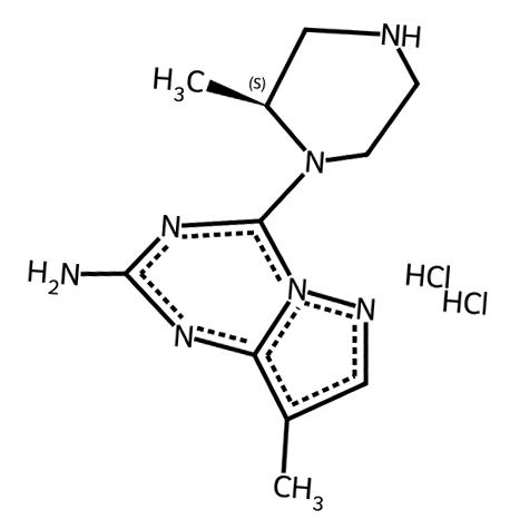 Cc1cnn2c(N3CCNC[C@@H]3C)nc(N)nc12.Cl.Cl